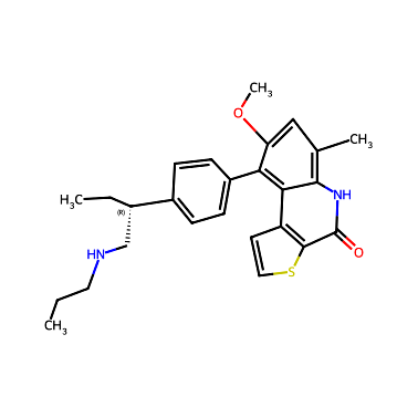 CCCNC[C@H](CC)c1ccc(-c2c(OC)cc(C)c3[nH]c(=O)c4sccc4c23)cc1